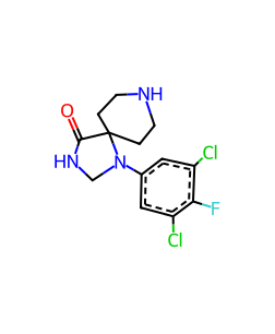 O=C1NCN(c2cc(Cl)c(F)c(Cl)c2)C12CCNCC2